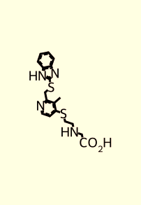 Cc1c(SCCNCC(=O)O)ccnc1CSc1nc2ccccc2[nH]1